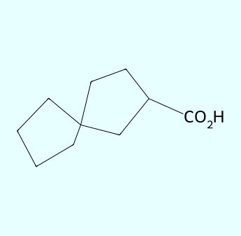 O=C(O)C1CCC2(CCCC2)C1